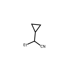 CC[C](C#N)C1CC1